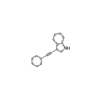 C(#Cc1c[nH]c2ccccc12)c1ccccc1